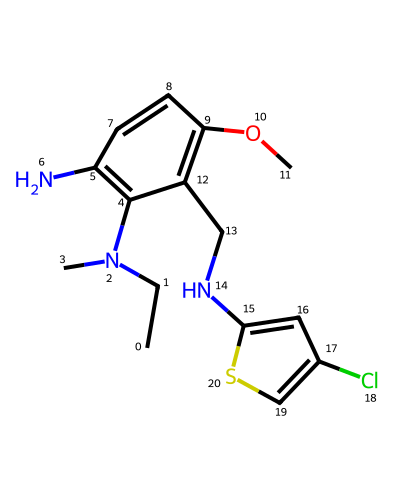 CCN(C)c1c(N)ccc(OC)c1CNc1cc(Cl)cs1